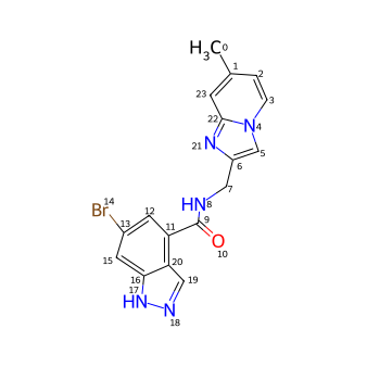 Cc1ccn2cc(CNC(=O)c3cc(Br)cc4[nH]ncc34)nc2c1